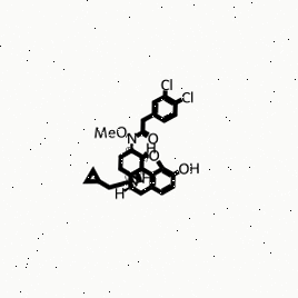 CON(C(=O)Cc1ccc(Cl)c(Cl)c1)[C@@H]1CC[C@@]2(O)[C@H]3Cc4ccc(O)c5c4[C@@]2(CCN3CC2CC2)[C@H]1O5